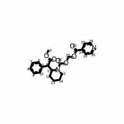 COC(=O)C(c1ccccc1)C1CCCCN1C(=O)OCOC(=O)c1ccncc1